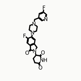 O=C1CCC(N2Cc3cc(N4CCN(Cc5cncc(F)c5)CC4)c(F)cc3C2=O)C(=O)N1